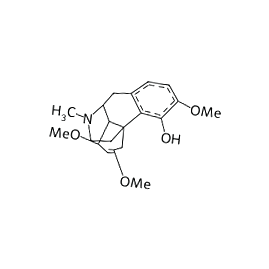 COC1=CC(OC)C2C3Cc4ccc(OC)c(O)c4C2(CCN3C)C1